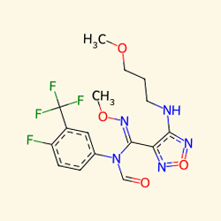 COCCCNc1nonc1/C(=N/OC)N(C=O)c1ccc(F)c(C(F)(F)F)c1